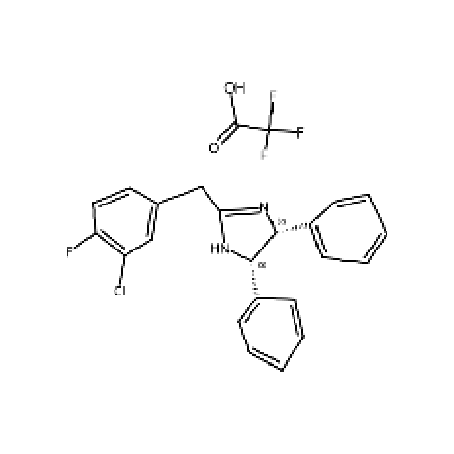 Fc1ccc(CC2=N[C@H](c3ccccc3)[C@H](c3ccccc3)N2)cc1Cl.O=C(O)C(F)(F)F